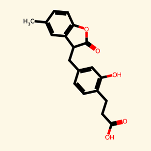 Cc1ccc2c(c1)C(Cc1ccc(CCC(=O)O)c(O)c1)C(=O)O2